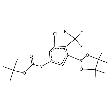 CC(C)(C)OC(=O)Nc1cc(Cl)c(C(F)(F)F)c(B2OC(C)(C)C(C)(C)O2)c1